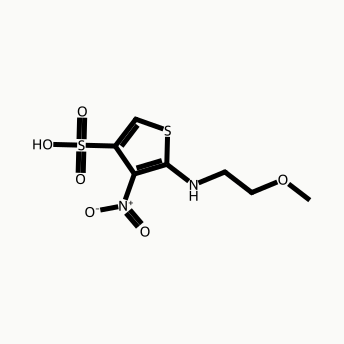 COCCNc1scc(S(=O)(=O)O)c1[N+](=O)[O-]